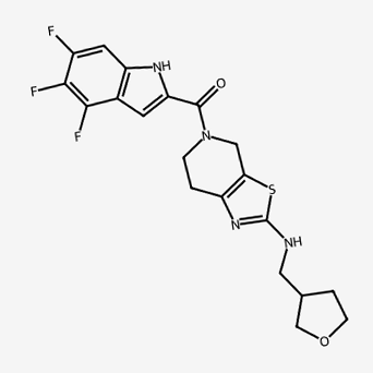 O=C(c1cc2c(F)c(F)c(F)cc2[nH]1)N1CCc2nc(NCC3CCOC3)sc2C1